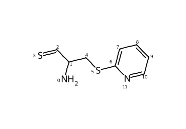 NC([C]=S)CSc1ccccn1